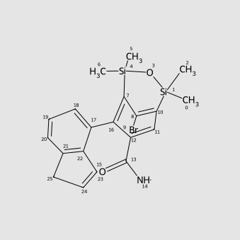 C[Si]1(C)O[Si](C)(C)c2c(Br)c1cc(C([NH])=O)c2-c1cccc2c1C=CC2